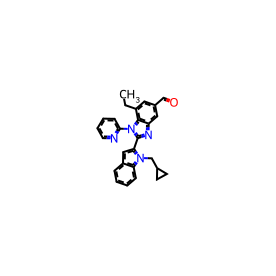 CCc1cc(C=O)cc2nc(-c3cc4ccccc4n3CC3CC3)n(-c3ccccn3)c12